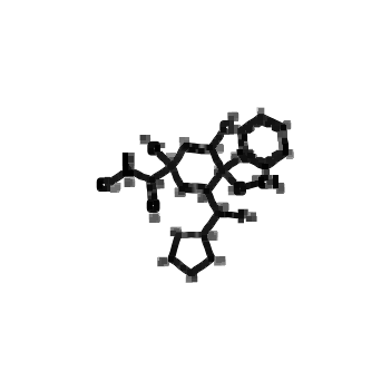 COC1([n+]2ccccc2)C(Cl)=CC([O-])(C(=O)NCl)C=C1C(F)C1CCCC1